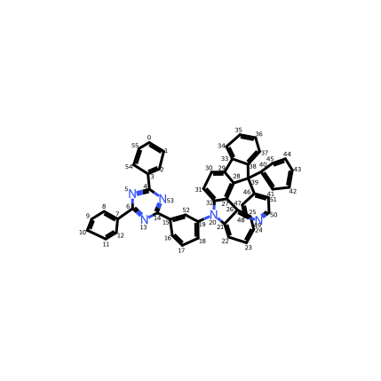 c1ccc(-c2nc(-c3ccccc3)nc(-c3cccc(-n4c5ccccc5c5c6c(ccc54)-c4ccccc4C6(c4ccccc4)c4ccncc4)c3)n2)cc1